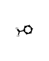 O=[C]([Zr])c1ccccc1